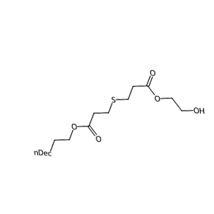 CCCCCCCCCCCCOC(=O)CCSCCC(=O)OCCO